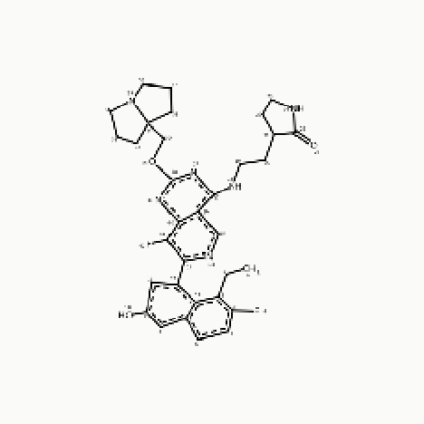 CCc1c(F)ccc2cc(O)cc(-c3ncc4c(NCCC5CCNC5=O)nc(OCC56CCCN5CCC6)nc4c3F)c12